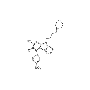 N#Cc1cc2c(c3ccccc3n2CCCCN2CCCCC2)n(-c2ccc([N+](=O)[O-])cc2)c1=O